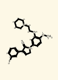 COc1ccc(N2CC=C(c3cccc(F)c3)C2=O)cc1OCCN1CCCCC1